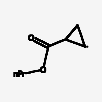 CCCOC(=O)C1[CH]C1